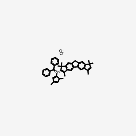 CC1=CC(C)[C]([Zr+2]([C]2=C(C)c3cc4c(cc3C2(C)C)Cc2cc3c(cc2-4)C(C)=CC3(C)C)=[C](c2ccccc2)c2ccccc2)=C1.[Cl-].[Cl-]